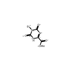 CCn1c(=O)nc(C(=O)OC)[nH]c1=O